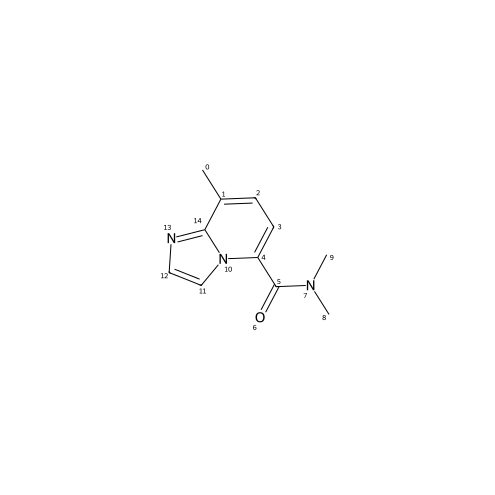 Cc1ccc(C(=O)N(C)C)n2ccnc12